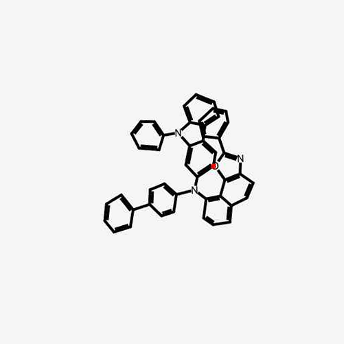 c1ccc(-c2ccc(N(c3ccc4c5ccccc5n(-c5ccccc5)c4c3)c3cccc4ccc5nc(-c6ccccc6)oc5c34)cc2)cc1